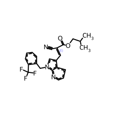 CC(C)COC(=O)/C(C#N)=C/c1cn(Cc2ccccc2C(F)(F)F)c2ncccc12